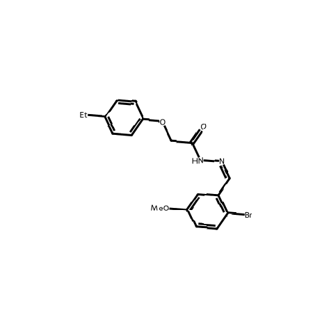 CCc1ccc(OCC(=O)N/N=C\c2cc(OC)ccc2Br)cc1